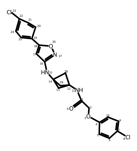 O=C(COc1ccc(Cl)cc1)NC12CC(Nc3cc(-c4ccc(Cl)cc4)on3)(C1)C2